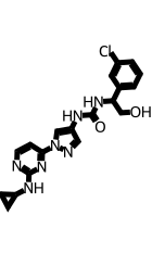 O=C(Nc1cnn(-c2ccnc(NC3CC3)n2)c1)NC(CO)c1cccc(Cl)c1